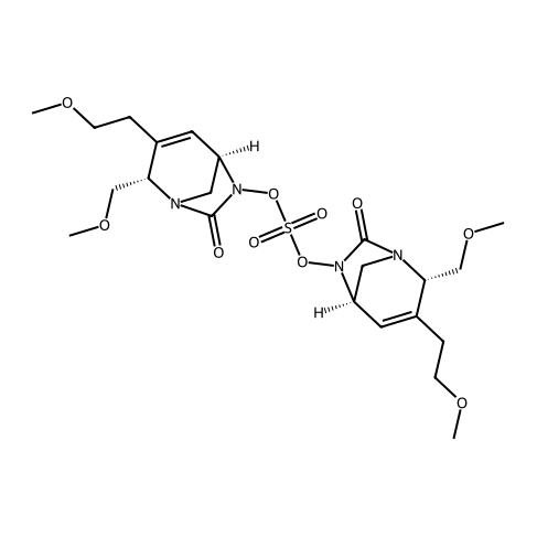 COCCC1=C[C@@H]2CN(C(=O)N2OS(=O)(=O)ON2C(=O)N3C[C@H]2C=C(CCOC)[C@H]3COC)[C@@H]1COC